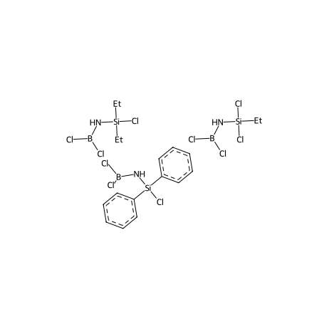 CC[Si](Cl)(CC)NB(Cl)Cl.CC[Si](Cl)(Cl)NB(Cl)Cl.ClB(Cl)N[Si](Cl)(c1ccccc1)c1ccccc1